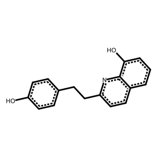 Oc1ccc(CCc2ccc3cccc(O)c3n2)cc1